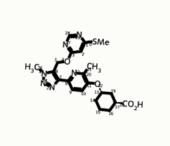 CSc1cc(OCc2c(-c3ccc(O[C@H]4CCC[C@H](C(=O)O)C4)c(C)n3)nnn2C)ncn1